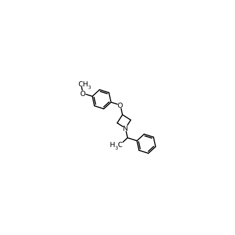 COc1ccc(OC2CN(C(C)c3ccccc3)C2)cc1